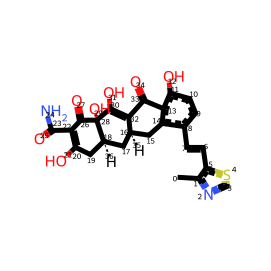 Cc1ncsc1/C=C/c1ccc(O)c2c1C[C@H]1C[C@H]3CC(O)=C(C(N)=O)C(=O)[C@@]3(O)C(O)=C1C2=O